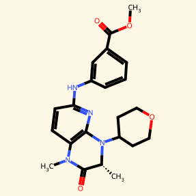 COC(=O)c1cccc(Nc2ccc3c(n2)N(C2CCOCC2)[C@H](C)C(=O)N3C)c1